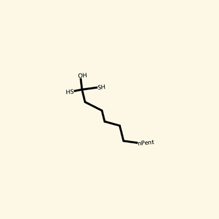 CCCCCCCCCCC(O)(S)S